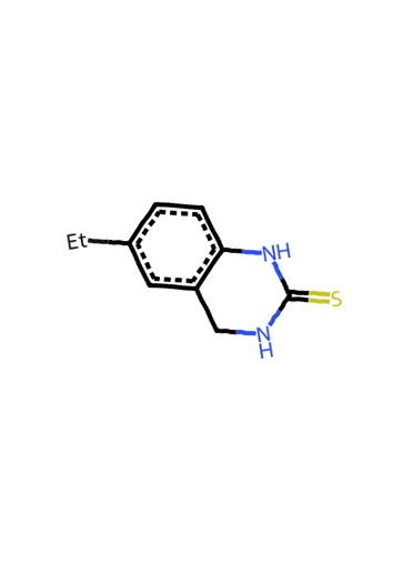 CCc1ccc2c(c1)CNC(=S)N2